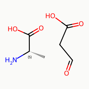 C[C@H](N)C(=O)O.O=CCC(=O)O